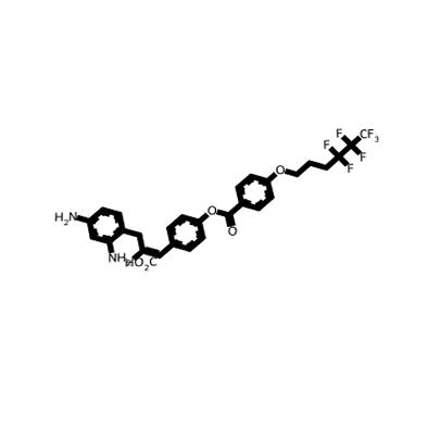 Nc1ccc(C/C(=C\c2ccc(OC(=O)c3ccc(OCCCC(F)(F)C(F)(F)C(F)(F)F)cc3)cc2)C(=O)O)c(N)c1